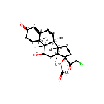 CCC(=O)O[C@]1(C(=O)CCl)CC[C@H]2[C@@H]3C=CC4=CC(=O)CC[C@]4(C)[C@H]3C(O)C[C@@]21C